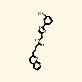 Cc1cccc(-c2nc(CNC(=O)CCCc3ccc4cccnc4n3)cs2)c1